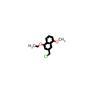 CCOc1cc(CCl)cc2c(OC)cccc12